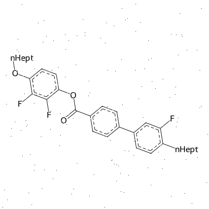 CCCCCCCOc1ccc(OC(=O)c2ccc(-c3ccc(CCCCCCC)c(F)c3)cc2)c(F)c1F